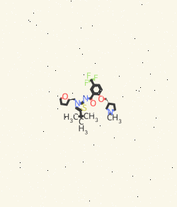 CN1CC[C@@H](COc2ccc(C(F)(F)F)cc2C(=O)N=c2sc(C(C)(C)C)cn2C[C@H]2CCCO2)C1